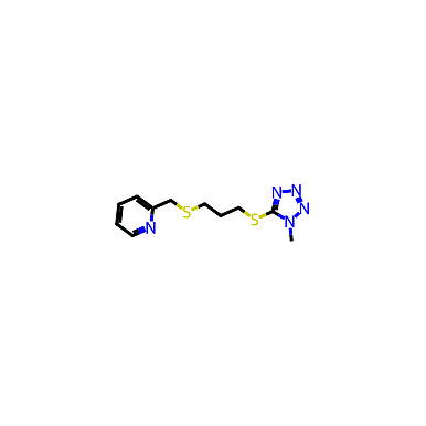 Cn1nnnc1SCCCSCc1ccccn1